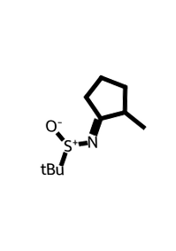 CC1CCC/C1=N\[S+]([O-])C(C)(C)C